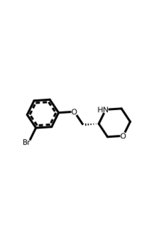 Brc1cccc(OC[C@H]2COCCN2)c1